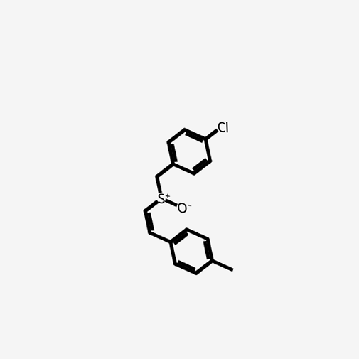 Cc1ccc(/C=C\[S+]([O-])Cc2ccc(Cl)cc2)cc1